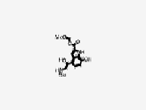 COCOC(=O)c1cc2c(C(O)CNC(C)(C)C)ccc(O)c2[nH]1